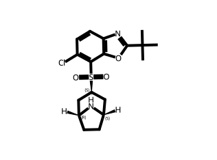 CC(C)(C)c1nc2ccc(Cl)c(S(=O)(=O)[C@@H]3C[C@H]4CC[C@@H](C3)N4)c2o1